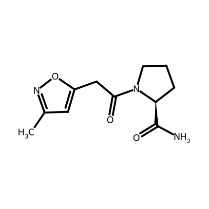 Cc1cc(CC(=O)N2CCC[C@H]2C(N)=O)on1